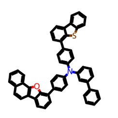 c1ccc(-c2cccc(N(c3ccc(-c4cccc5c4oc4c6ccccc6ccc54)cc3)c3ccc(-c4cccc5c4sc4ccccc45)cc3)c2)cc1